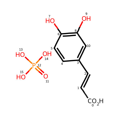 O=C(O)C=Cc1ccc(O)c(O)c1.O=P(O)(O)O